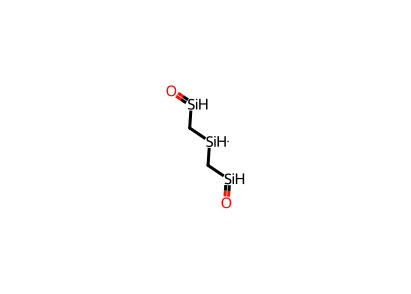 O=[SiH]C[SiH]C[SiH]=O